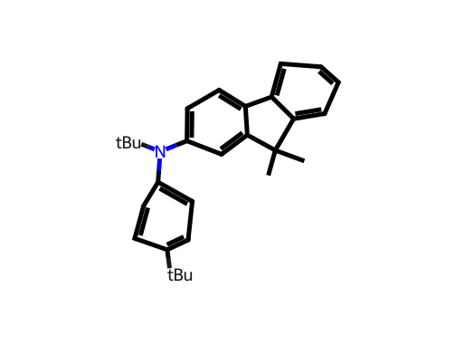 CC(C)(C)c1ccc(N(c2ccc3c(c2)C(C)(C)c2ccccc2-3)C(C)(C)C)cc1